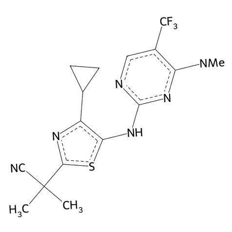 CNc1nc(Nc2sc(C(C)(C)C#N)nc2C2CC2)ncc1C(F)(F)F